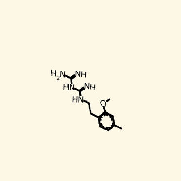 COc1cc(C)ccc1CCNC(=N)NC(=N)N